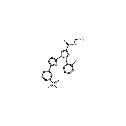 CS(=O)(=O)c1cccc(-c2ccc(-c3cc(C(=O)NCC(F)(F)F)nn3-c3ccccc3Cl)s2)c1